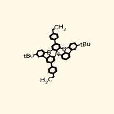 C=Cc1ccc(-c2cc3c4c(c2)B2c5ccc(C(C)(C)C)cc5-c5cc(-c6ccc(C=C)cc6)cc(c52)N4c2cccc4c2B3c2ccc(C(C)(C)C)cc2-4)cc1